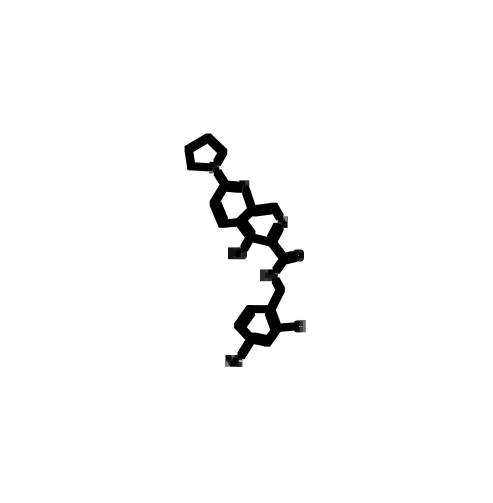 N#Cc1ccc(CNC(=O)c2ncc3nc(N4CCCC4)ccc3c2O)c(Cl)c1